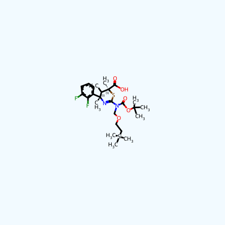 CC1[C@@](C)(C(=O)O)SC(N(COCC[Si](C)(C)C)C(=O)OC(C)(C)C)=N[C@]1(C)c1cccc(F)c1F